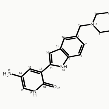 CCN(CC)Cc1ccc2[nH]c(-c3cc(N)c[nH]c3=O)cc2c1